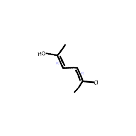 C/C(O)=C\C=C(/C)Cl